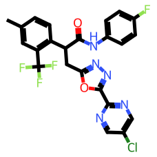 Cc1ccc(C(Cc2nnc(-c3ncc(Cl)cn3)o2)C(=O)Nc2ccc(F)cc2)c(C(F)(F)F)c1